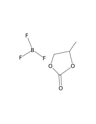 CC1COC(=O)O1.FB(F)F